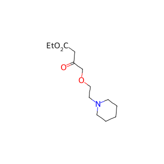 CCOC(=O)CC(=O)COCCN1CCCCC1